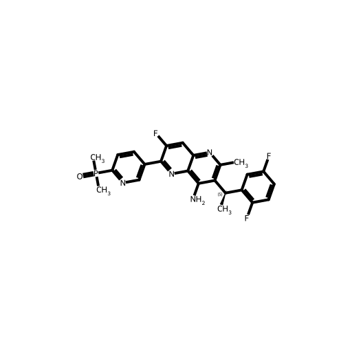 Cc1nc2cc(F)c(-c3ccc(P(C)(C)=O)nc3)nc2c(N)c1[C@H](C)c1cc(F)ccc1F